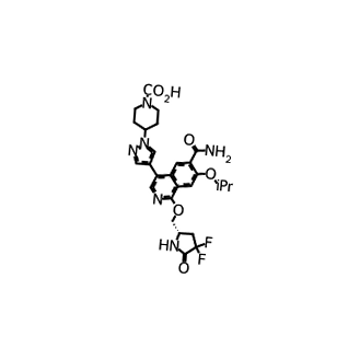 CC(C)Oc1cc2c(OC[C@@H]3CC(F)(F)C(=O)N3)ncc(-c3cnn(C4CCN(C(=O)O)CC4)c3)c2cc1C(N)=O